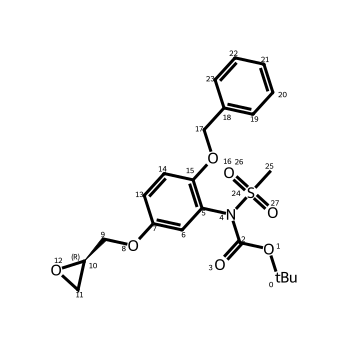 CC(C)(C)OC(=O)N(c1cc(OC[C@H]2CO2)ccc1OCc1ccccc1)S(C)(=O)=O